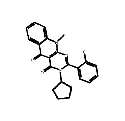 Cn1c2ccccc2c(=O)c2c(=O)n(C3CCCC3)c(-c3ccccc3Cl)nc21